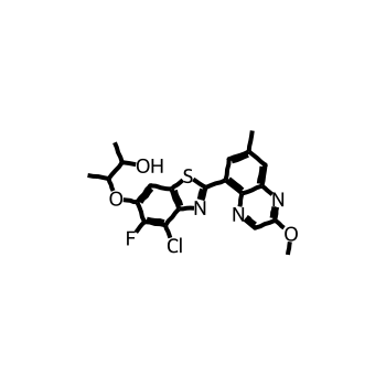 COc1cnc2c(-c3nc4c(Cl)c(F)c(OC(C)C(C)O)cc4s3)cc(C)cc2n1